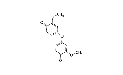 COC1=CC(OC2=CCC(=O)C(OC)=C2)=CCC1=O